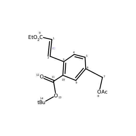 CCOC(=O)/C=C/c1ccc(COC(C)=O)cc1C(=O)OC(C)(C)C